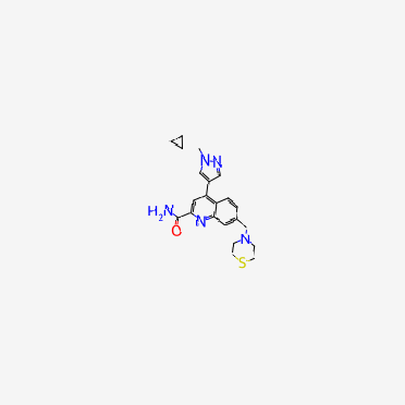 C1CC1.Cn1cc(-c2cc(C(N)=O)nc3cc(CN4CCSCC4)ccc23)cn1